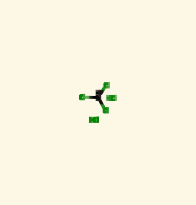 Cl.Cl.Cl[SiH](Cl)Cl